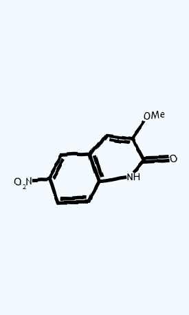 COc1cc2cc([N+](=O)[O-])ccc2[nH]c1=O